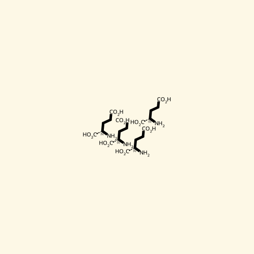 N[C@@H](CCC(=O)O)C(=O)O.N[C@@H](CCC(=O)O)C(=O)O.N[C@@H](CCC(=O)O)C(=O)O.N[C@@H](CCC(=O)O)C(=O)O